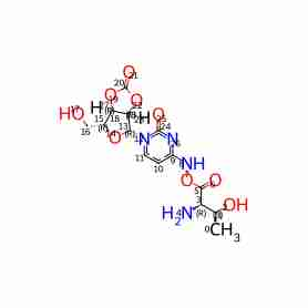 C[C@H](O)[C@@H](N)C(=O)ONc1ccn([C@@H]2O[C@H](CO)[C@H]3OC(=O)O[C@H]32)c(=O)n1